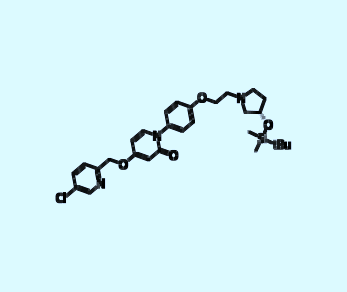 CC(C)(C)[Si](C)(C)O[C@H]1CCN(CCOc2ccc(-n3ccc(OCc4ccc(Cl)cn4)cc3=O)cc2)C1